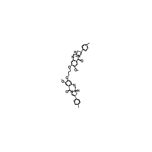 COc1cc2c(cc1OCCCOc1cc3c(cc1OC)C(=O)N1C=C(c4ccc(C)cc4)C[C@H]1C=N3)N=C[C@@H]1CC(c3ccc(C)cc3)=CN1C2=O